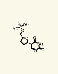 O=C1N=CC([C@H]2CC[C@@H](COP(O)(O)=S)O2)C(=O)N1